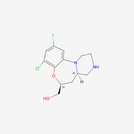 OC[C@@H]1C[C@@H]2CNCCN2c2cc(F)cc(Cl)c2O1